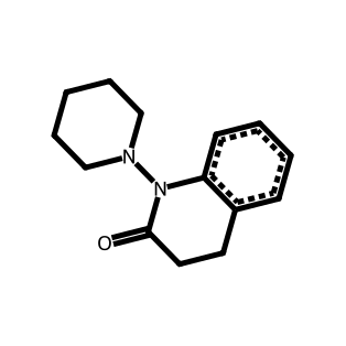 O=C1CCc2ccccc2N1N1CCCCC1